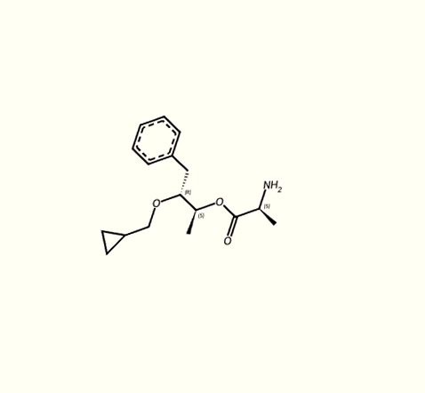 C[C@H](N)C(=O)O[C@@H](C)[C@@H](Cc1ccccc1)OCC1CC1